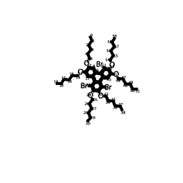 CCCCCCOc1cc2c(cc1OCCCCCC)c1c(Br)c(OCCCCCC)c(OCCCCCC)c(Br)c1c1cc(OCCCCCC)c(OCCCCCC)c(Br)c21